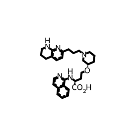 O=C(O)[C@H](CCO[C@H]1CCCN(CCCc2ccc3c(n2)NCCC3)C1)Nc1nccc2ccccc12